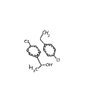 CC(O)c1ccc(Cl)cc1.CCc1ccc(Cl)cc1